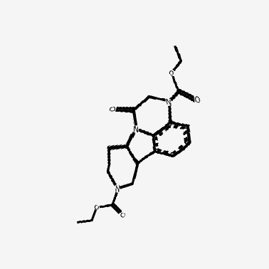 CCOC(=O)N1CCC2C(C1)c1cccc3c1N2C(=O)CN3C(=O)OCC